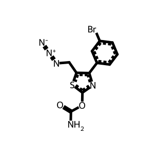 [N-]=[N+]=NCc1sc(OC(N)=O)nc1-c1cccc(Br)c1